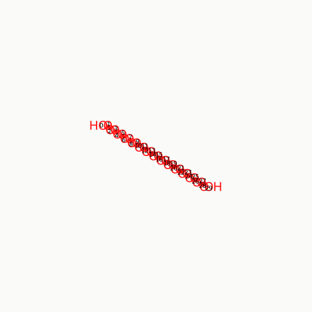 OOOOOOOOOOOOOOOOOOOOOOOOOOOOOO